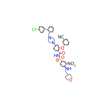 N#Cc1cccc(Oc2cc(N3CCN(Cc4ccccc4-c4ccc(Cl)cc4)CC3)ccc2C(=O)NS(=O)(=O)c2ccc(NCC3CCOCC3)c([N+](=O)[O-])c2)c1